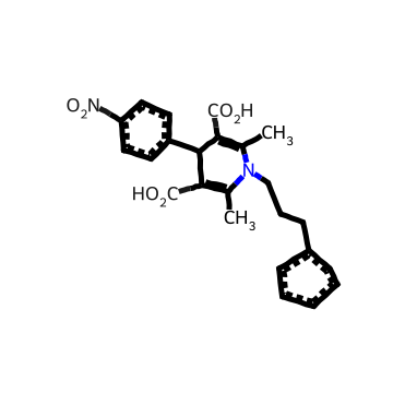 CC1=C(C(=O)O)C(c2ccc([N+](=O)[O-])cc2)C(C(=O)O)=C(C)N1CCCc1ccccc1